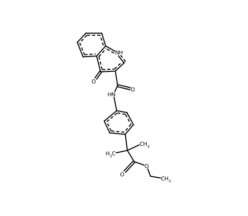 CCOC(=O)C(C)(C)c1ccc(NC(=O)c2c[nH]c3ccccc3c2=O)cc1